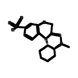 CN(C)[C@H]1CCCC[C@@H]1N1C(=O)COc2cc(S(=O)(=O)Cl)ccc21